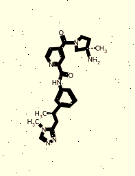 C[C@H](Cc1nncn1C)c1cccc(NC(=O)c2cc(C(=O)N3CC[C@@](C)(N)C3)ccn2)c1